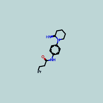 CC(C)CCC(=O)Nc1ccc(N2CCCCC2=N)cc1